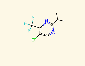 CC(C)c1n[c]c(Cl)c(C(F)(F)F)n1